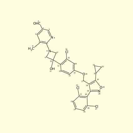 Cc1cc(C=O)cnc1N1CC(O)(c2ccc(OCc3c(-c4c(Cl)cccc4Cl)noc3C3CC3)cc2Cl)C1